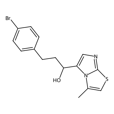 Cc1csc2ncc(C(O)CCc3ccc(Br)cc3)n12